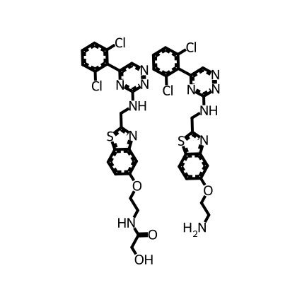 NCCOc1ccc2sc(CNc3nncc(-c4c(Cl)cccc4Cl)n3)nc2c1.O=C(CO)NCCOc1ccc2sc(CNc3nncc(-c4c(Cl)cccc4Cl)n3)nc2c1